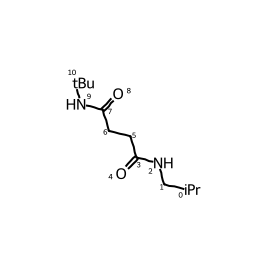 CC(C)CNC(=O)CCC(=O)NC(C)(C)C